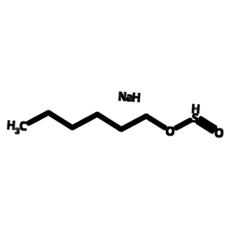 CCCCCCO[SH]=O.[NaH]